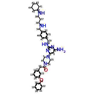 Nc1cc(N2CCN(C(=O)Cc3cccc(Oc4ccccc4)c3)CC2)nc(NCc2ccc(CNCCCNC3CCCCC3)cc2)n1